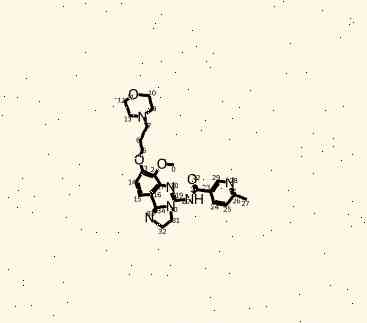 COc1c(OCCCN2CCOCC2)ccc2c1N=C(NC(=O)c1ccc(C)nc1)N1CCN=C21